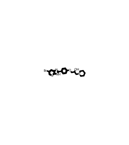 OC(COc1ccc(-c2nc3cc(Br)cnc3[nH]2)cc1)CN1CCCCC1